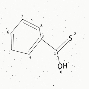 OC(=S)c1cc[c]cc1